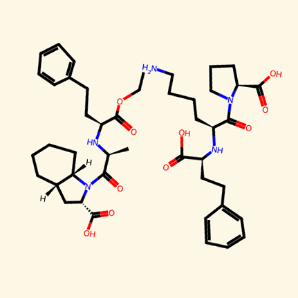 CCOC(=O)[C@H](CCc1ccccc1)N[C@@H](C)C(=O)N1[C@H](C(=O)O)C[C@@H]2CCCC[C@@H]21.NCCCC[C@H](N[C@@H](CCc1ccccc1)C(=O)O)C(=O)N1CCC[C@H]1C(=O)O